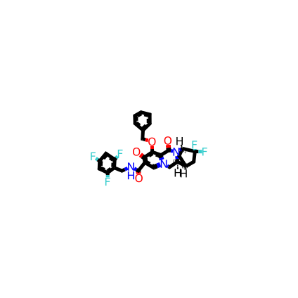 O=C(NCc1c(F)cc(F)cc1F)c1cn2c(c(OCc3ccccc3)c1=O)C(=O)N1[C@H](C2)[C@H]2C[C@@H]1C(F)(F)C2